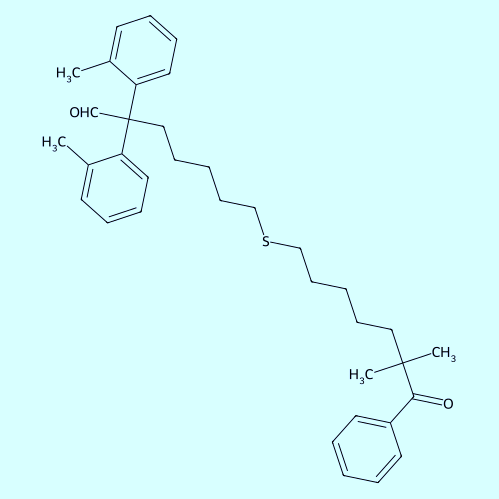 Cc1ccccc1C(C=O)(CCCCCSCCCCCC(C)(C)C(=O)c1ccccc1)c1ccccc1C